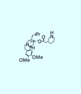 COc1cc2c(cc1OC)[C@H]1C[C@@H](COC(=O)CC3CCCNC3)[C@H](CC(C)C)CN1CC2